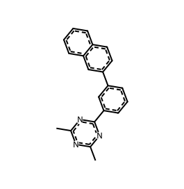 Cc1nc(C)nc(-c2cccc(-c3ccc4ccccc4c3)c2)n1